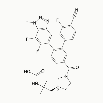 Cn1nnc2cc(-c3ccc(C(=O)N4CC[C@@H](CC(C)(C)NC(=O)O)C4)cc3-c3ccc(C#N)c(F)c3)c(F)c(F)c21